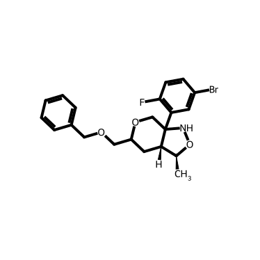 C[C@@H]1ONC2(c3cc(Br)ccc3F)COC(COCc3ccccc3)C[C@@H]12